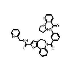 O=C(NCc1ccccn1)c1cc2c(s1)-c1ccccc1N(C(=O)c1cccc(NC(=O)c3cccnc3N3CCCC3)c1)CC2